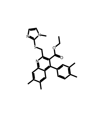 CCOC(=O)c1c(CSc2nccn2C)nc2cc(C)c(C)cc2c1-c1ccc(C)c(C)c1